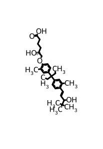 CCC(CC)(c1ccc(C=CC(O)C(C)(C)C)c(C)c1)c1ccc(OC[C@H](O)CCCC(=O)O)c(C)c1